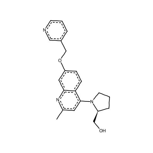 Cc1cc(N2CCC[C@H]2CO)c2ccc(OCc3cccnc3)cc2n1